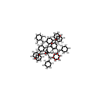 Cc1cccc(C)c1B1c2ccc(-c3ccccc3)cc2C2(c3cc(-c4ccccc4)ccc31)c1cc(-c3ccccc3)cc(N(c3ccccc3)c3ccccc3)c1Oc1c(N(c3ccccc3)c3ccccc3)cc(-c3ccccc3)cc12